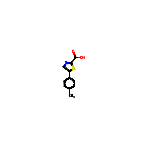 Cc1ccc(-c2cnc(C(=O)O)s2)cc1